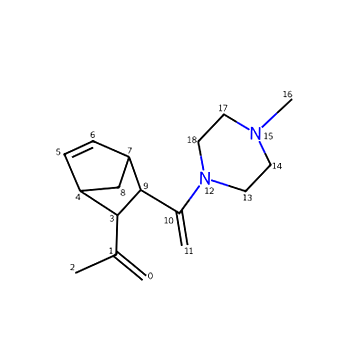 C=C(C)C1C2C=CC(C2)C1C(=C)N1CCN(C)CC1